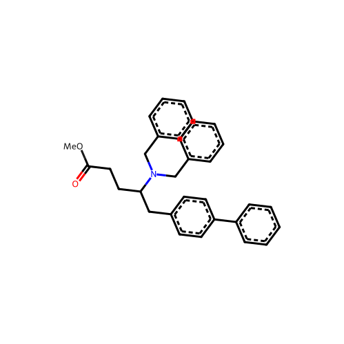 COC(=O)CCC(Cc1ccc(-c2ccccc2)cc1)N(Cc1ccccc1)Cc1ccccc1